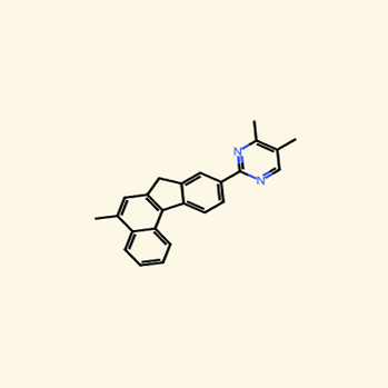 Cc1cnc(-c2ccc3c(c2)Cc2cc(C)c4ccccc4c2-3)nc1C